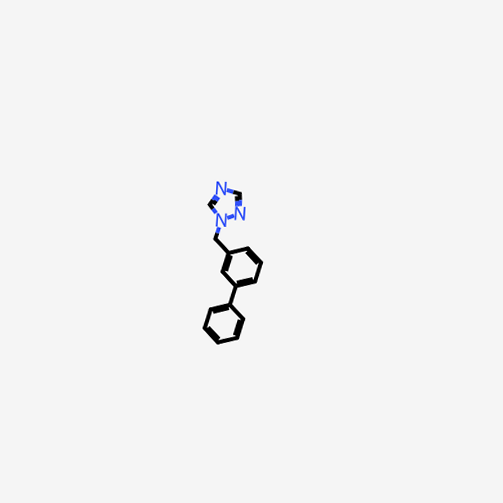 c1ccc(-c2cccc(Cn3cncn3)c2)cc1